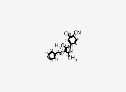 Cc1nn(-c2ccc(C#N)c(Cl)c2)c(C)c1OCc1ccncc1